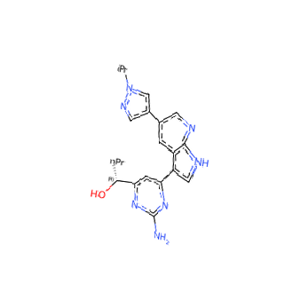 CCC[C@@H](O)c1cc(-c2c[nH]c3ncc(-c4cnn(C(C)C)c4)cc23)nc(N)n1